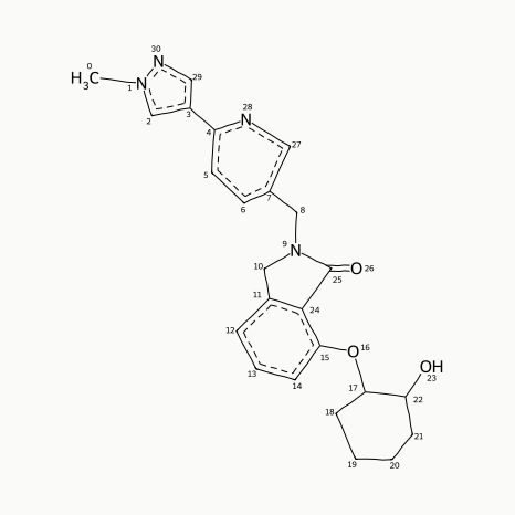 Cn1cc(-c2ccc(CN3Cc4cccc(OC5CCCCC5O)c4C3=O)cn2)cn1